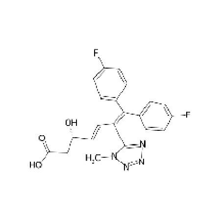 Cn1nnnc1C(C=C[C@@H](O)CC(=O)O)=C(c1ccc(F)cc1)c1ccc(F)cc1